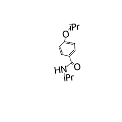 CC(C)NC(=O)c1ccc(OC(C)C)cc1